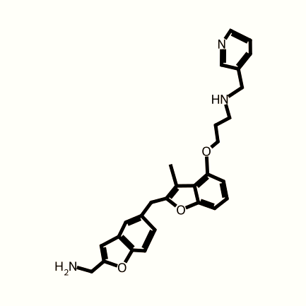 Cc1c(Cc2ccc3oc(CN)cc3c2)oc2cccc(OCCCNCc3cccnc3)c12